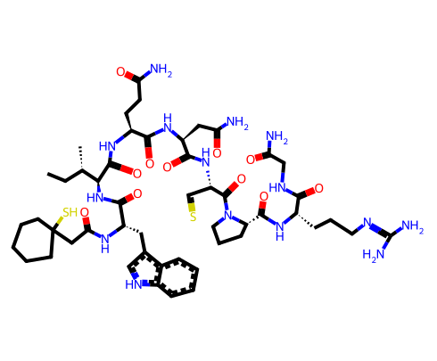 CC[C@H](C)[C@H](NC(=O)[C@H](Cc1c[nH]c2ccccc12)NC(=O)CC1(S)CCCCC1)C(=O)N[C@@H](CCC(N)=O)C(=O)N[C@@H](CC(N)=O)C(=O)N[C@@H](C=S)C(=O)N1CCC[C@H]1C(=O)N[C@@H](CCCN=C(N)N)C(=O)NCC(N)=O